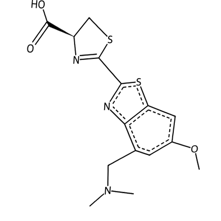 COc1cc(CN(C)C)c2nc(C3=N[C@@H](C(=O)O)CS3)sc2c1